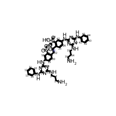 NCCCNc1nc(Nc2ccccc2)nc(Nc2ccc(/C=C/c3ccc(Nc4nc(NCCCN)nc(Nc5ccccc5)n4)cc3S(=O)(=O)O)c(S(=O)(=O)O)c2)n1